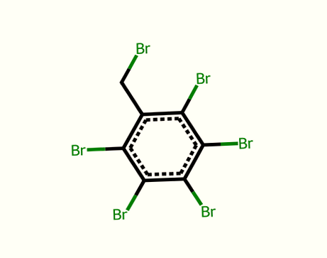 BrCc1c(Br)c(Br)c(Br)c(Br)c1Br